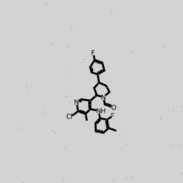 Cc1cccc(Nc2c(C3CC(c4ccc(F)cc4)CCN3C=O)cnc(Cl)c2C)c1F